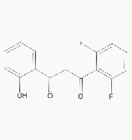 O=C(CC(=O)c1c(F)cccc1F)c1ccccc1O